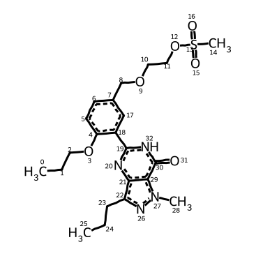 CCCOc1ccc(COCCOS(C)(=O)=O)cc1-c1nc2c(CCC)nn(C)c2c(=O)[nH]1